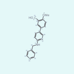 COc1ccc(-c2ccc(NCc3ccncc3)nc2)cc1C(=O)O